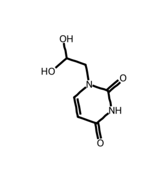 O=c1ccn(CC(O)O)c(=O)[nH]1